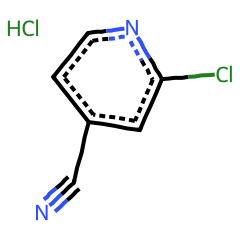 Cl.N#Cc1ccnc(Cl)c1